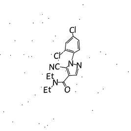 CCN(CC)C(=O)c1cnn(-c2ccc(Cl)cc2Cl)c1C#N